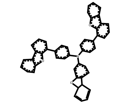 C1=CC2Oc3cc(N(c4ccc(-c5cccc6c5oc5ccccc56)cc4)c4ccc(-c5cccc6c5oc5ccccc56)cc4)ccc3C2C=C1